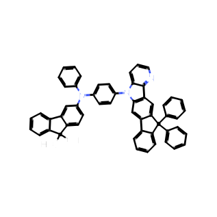 CC1(C)c2ccccc2-c2cc(N(c3ccccc3)c3ccc(-n4c5cc6c(cc5c5ncccc54)C(c4ccccc4)(c4ccccc4)c4ccccc4-6)cc3)ccc21